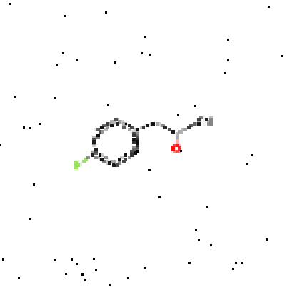 N#CC(=O)Cc1ccc(F)cc1